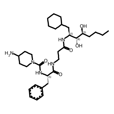 CCCC[C@H](O)[C@H](O)[C@H](CC1CCCCC1)NC(=O)CCNC(=O)[C@H](Cc1ccccc1)NC(=O)N1CCC(N)CC1